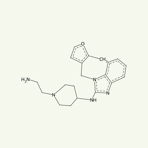 Cc1occc1Cn1c(NC2CCN(CCN)CC2)nc2ccccc21